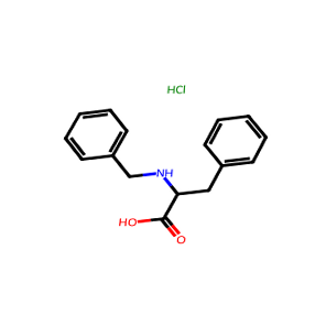 Cl.O=C(O)C(Cc1ccccc1)NCc1ccccc1